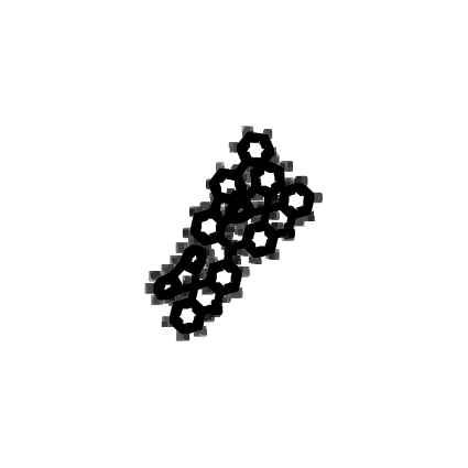 c1ccc(-c2ccc3c(c2)sc2c(N(c4ccc5c(c4)C4(c6ccccc6S5)c5ccccc5-c5ccccc54)c4ccc5c(c4)C4(c6ccccc6S5)c5ccccc5-c5ccccc54)cccc23)cc1